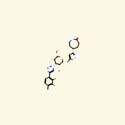 CO[C@@H]1[C@@H](n2cc(-c3ccc(C)c(F)c3F)nn2)[C@@H](O)[C@@H](CO)O[C@@H]1Cc1cc([C@H]2CCNC(=O)CC2)no1